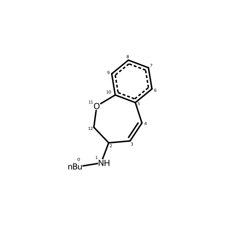 CCCCNC1C=Cc2ccccc2OC1